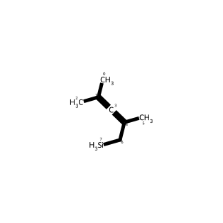 CC(C)=C=C(C)C[SiH3]